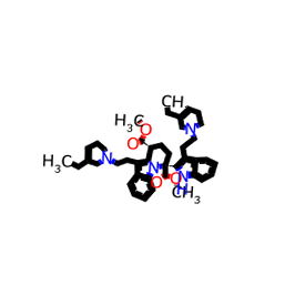 CCC1=CCCN(CCc2c([C@@]3(C(=O)OC)CC[C@@H](C(=O)OC)c4c(CCN5CCC=C(CC)C5)c5ccccc5n43)[nH]c3ccccc23)C1